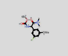 COc1cc(F)cc(C(NC(=O)OC(C)(C)C)C(=O)N(C)C)c1